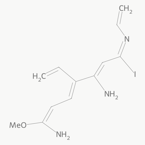 C=C\N=C(I)/C=C(N)/C(C=C)=C/C=C(\N)OC